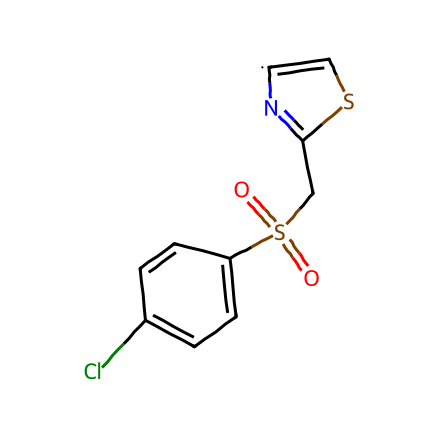 O=S(=O)(Cc1n[c]cs1)c1ccc(Cl)cc1